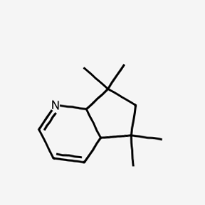 CC1(C)CC(C)(C)C2N=CC=CC21